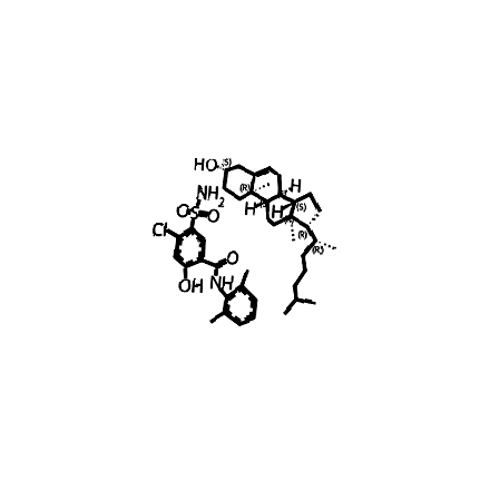 CC(C)CCC[C@@H](C)[C@H]1CC[C@H]2[C@@H]3CC=C4C[C@@H](O)CC[C@]4(C)[C@H]3CC[C@]12C.Cc1cccc(C)c1NC(=O)c1cc(S(N)(=O)=O)c(Cl)cc1O